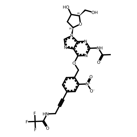 CC(=O)Nc1nc(OCc2ccc(C#CCNC(=O)C(F)(F)F)cc2[N+](=O)[O-])c2ncn([C@H]3CC(O)[C@@H](CO)O3)c2n1